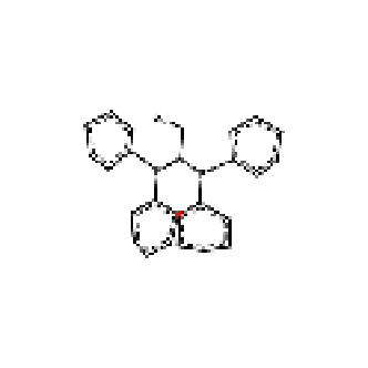 [Pd][CH2]C(P(c1ccccc1)c1ccccc1)P(c1ccccc1)c1ccccc1